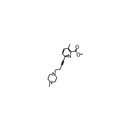 COC(=O)c1nc(C#CCCN2CCN(C)CC2)ccc1C